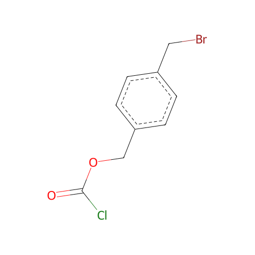 O=C(Cl)OCc1ccc(CBr)cc1